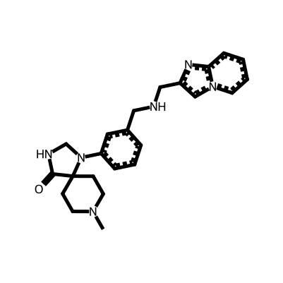 CN1CCC2(CC1)C(=O)NCN2c1cccc(CNCc2cn3ccccc3n2)c1